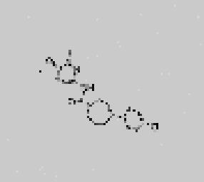 Cn1nc(NC(=O)N2CC=C(c3ccc(Cl)cc3)CCC2)ccc1=O